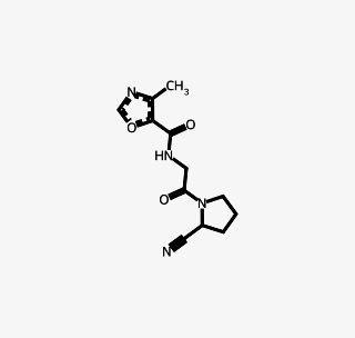 Cc1ncoc1C(=O)NCC(=O)N1CCCC1C#N